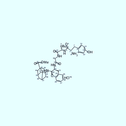 CCCC[C@@H](NC(=O)[C@@H](N)Cc1ccc(O)cc1)C(=O)NCC(=O)N[C@@H](Cc1ccccc1)C(=O)NC12CC3CC(C1)CC(C(=O)OC)(C3)C2.Cl